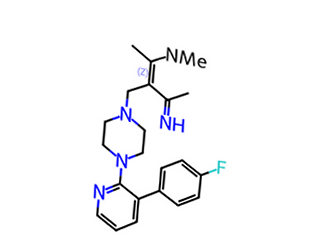 CN/C(C)=C(/CN1CCN(c2ncccc2-c2ccc(F)cc2)CC1)C(C)=N